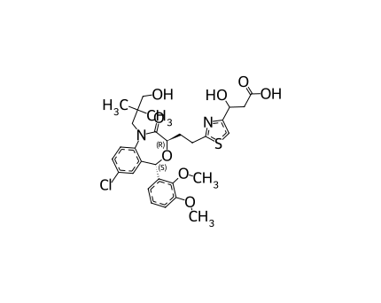 COc1cccc([C@H]2O[C@H](CCc3nc(C(O)CC(=O)O)cs3)C(=O)N(CC(C)(C)CO)c3ccc(Cl)cc32)c1OC